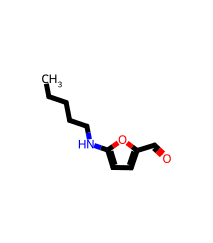 CCCCCNc1ccc(C=O)o1